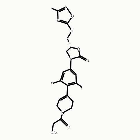 CC(=O)OCC(=O)N1CC=C(c2c(F)cc(N3C[C@H](COc4nc(C)no4)OC3=O)cc2F)CC1